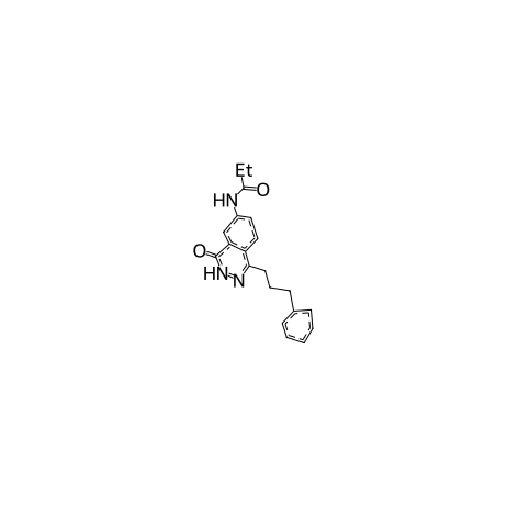 CCC(=O)Nc1ccc2c(CCCc3ccccc3)n[nH]c(=O)c2c1